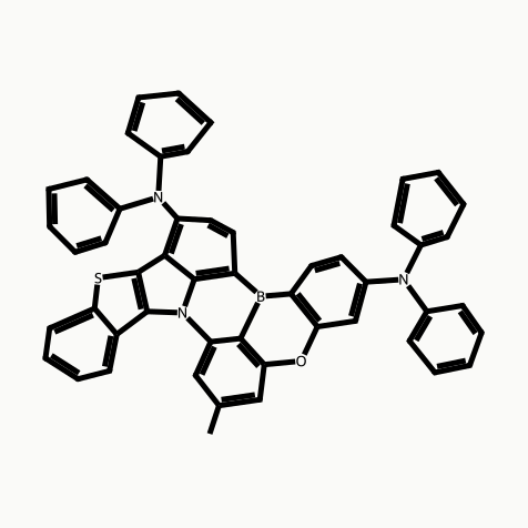 Cc1cc2c3c(c1)-n1c4c(ccc(N(c5ccccc5)c5ccccc5)c4c4sc5ccccc5c41)B3c1ccc(N(c3ccccc3)c3ccccc3)cc1O2